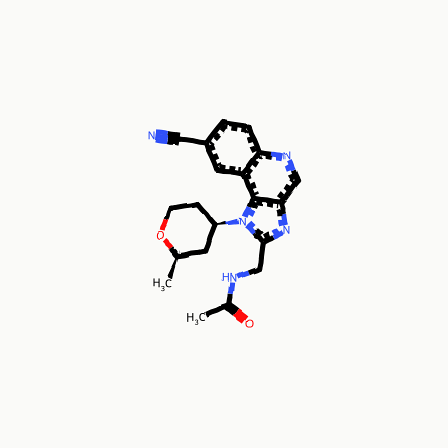 CC(=O)NCc1nc2cnc3ccc(C#N)cc3c2n1[C@@H]1CCO[C@H](C)C1